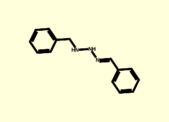 C(=NNNCc1ccccc1)c1ccccc1